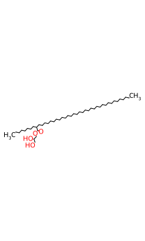 CCCCCCCCCCCCCCCCCCCCCCCCCCCCCCCCCC(CCCCCCCC)C(=O)OCC(O)CO